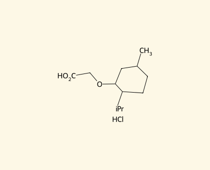 CC1CCC(C(C)C)C(OCC(=O)O)C1.Cl